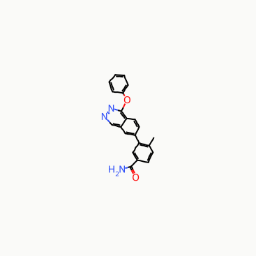 Cc1ccc(C(N)=O)cc1-c1ccc2c(Oc3ccccc3)nncc2c1